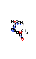 CCOC1(c2ccc(-c3cc4c(N5CCN(C(=O)NC(C)C)CC5)ccnn4c3)cc2)CCN(C2COC2)CC1